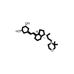 CC(CCN1CCOCC1(C)C)[C@H]1CC[C@H]2C(=CC=C3C[C@@H](O)C[C@H](O)C3)CCC[C@]12C